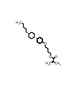 C=C(C)C(=O)OCCCCOc1ccc([C@H]2CC[C@H](CCCCC)CC2)cc1